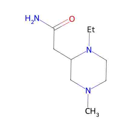 CCN1CCN(C)CC1CC(N)=O